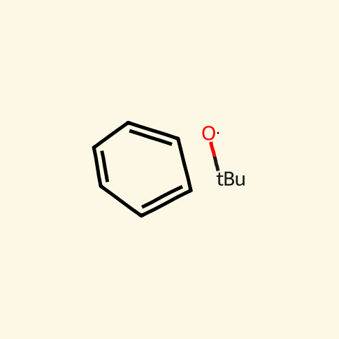 CC(C)(C)[O].c1ccccc1